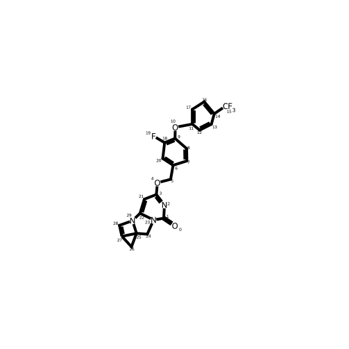 O=c1nc(OCc2ccc(Oc3ccc(C(F)(F)F)cc3)c(F)c2)cc2n1CC13CC1=CN23